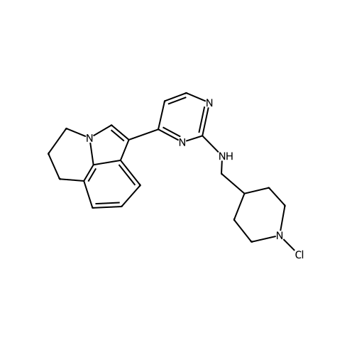 ClN1CCC(CNc2nccc(-c3cn4c5c(cccc35)CCC4)n2)CC1